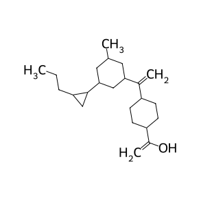 C=C(O)C1CCC(C(=C)C2CC(C)CC(C3CC3CCC)C2)CC1